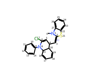 CN1/C(=C\C2C=C(Cl)N(c3ccccc3)C3C=CC=CC23)Sc2ccccc21